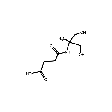 CC(CO)(CO)NC(=O)CCC(=O)O